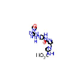 O=C(O)NC1CCCN(Cc2ccnc(C(=O)NC3CCN(c4nc5c(N6CCOCC6)ncnc5[nH]4)CC3)c2)C1